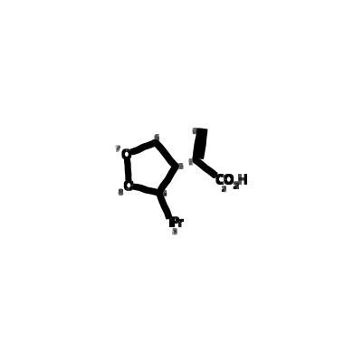 C=CC(=O)O.CC(C)C1CCOO1